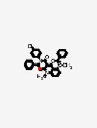 COc1cccc2c1c(OC(=O)c1ccccc1)c(C(=O)N(C(=O)c1ccccc1)c1ccc(Cl)cc1)c(=O)n2C